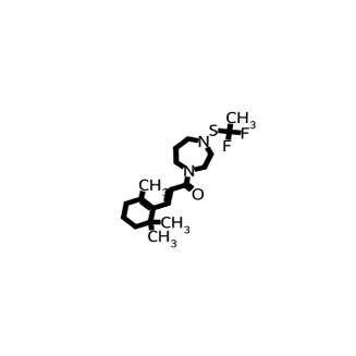 CC1=C(/C=C/C(=O)N2CCCN(SC(C)(F)F)CC2)C(C)(C)CCC1